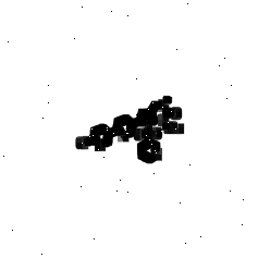 CN(Cc1cc(-c2ccc(-c3ccc(Cl)nc3)nc2)n(S(=O)(=O)c2cccnc2)c1)C(=O)OC(C)(C)C